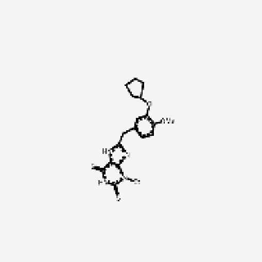 CCn1c(=S)[nH]c(=S)c2[nH]c(Cc3ccc(OC)c(OC4CCCC4)c3)nc21